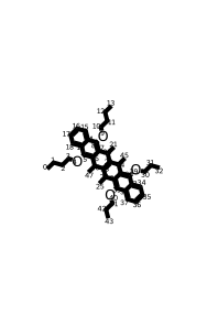 CCCCOc1c2c(c(OCCCC)c3ccccc13)C(C)C1=C(C(C)c3c(c(OCCC)c4ccccc4c3OCCC)C1C)C2C